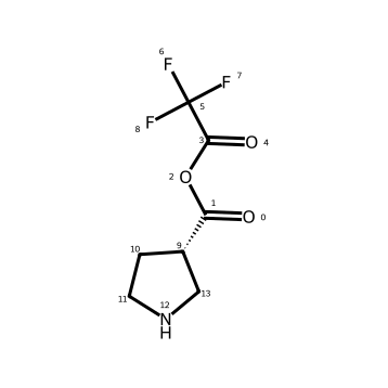 O=C(OC(=O)C(F)(F)F)[C@H]1CCNC1